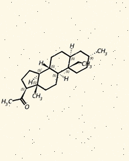 CC[C@]12CC[C@@H](C)C[C@@H]1CC[C@H]1[C@@H]3CC[C@H](C(C)=O)[C@@]3(C)CC[C@@H]12